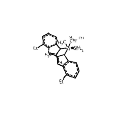 CCc1cccc2c1C=C(C)[CH]2[Zr]([CH3])([CH3])(=[SiH2])[CH]1C(C)=Cc2c(CC)cccc21.F.F